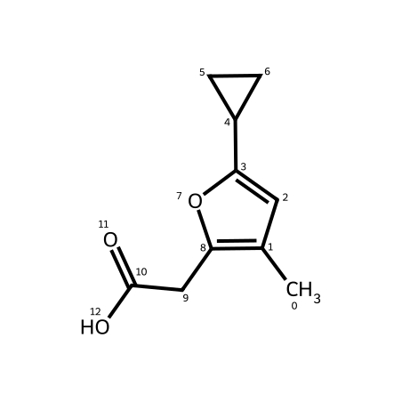 Cc1cc(C2CC2)oc1CC(=O)O